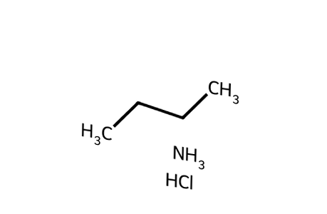 CCCC.Cl.N